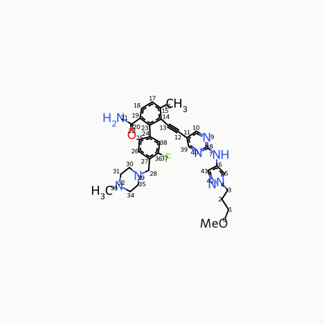 COCCCn1cc(Nc2ncc(C#Cc3c(C)ccc(C(N)=O)c3-c3ccc(CN4CCN(C)CC4)c(F)c3)cn2)cn1